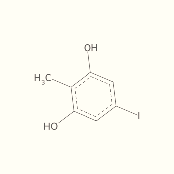 Cc1c(O)cc(I)cc1O